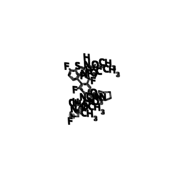 CN1C[C@H](F)C[C@]1(C)COc1nc(N2CC3CCC(C2)N3C(=O)OC(C)(C)C)c2cc(C(F)(F)F)c(-c3ccc(F)c4sc(NC(=O)OC(C)(C)C)nc34)c(F)c2n1